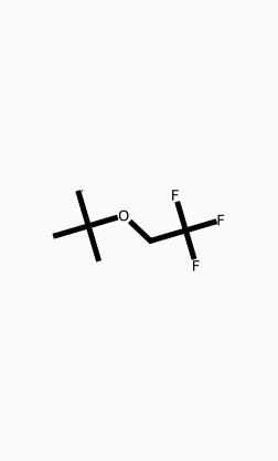 [CH2]C(C)(C)OCC(F)(F)F